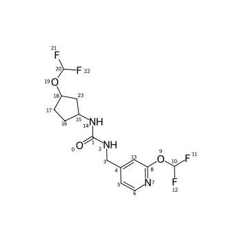 O=C(NCc1ccnc(OC(F)F)c1)NC1CCC(OC(F)F)C1